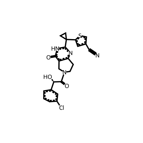 N#Cc1csc(C2(c3nc4c(c(=O)[nH]3)CN(C(=O)[C@H](O)c3cccc(Cl)c3)CC4)CC2)c1